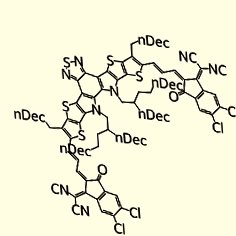 [C-]#[N+]\C(C#N)=C1/C(=C/C=C/c2sc3c(sc4c5c6nsnc6c6c7sc8c(CCCCCCCCCCC)c(/C=C/C=C9\C(=O)c%10cc(Cl)c(Cl)cc%10\C9=C(\C#N)[N+]#[C-])sc8c7n(CC(CCCCCCCCCC)CCCCCCCCCCCC)c6c5n(CC(CCCCCCCCCC)CCCCCCCCCCCC)c34)c2CCCCCCCCCCC)C(=O)c2cc(Cl)c(Cl)cc21